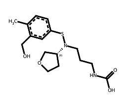 Cc1ccc(SN(CCCNC(=O)O)[C@@H]2CCOC2)cc1CO